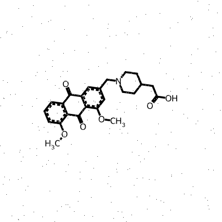 COc1cccc2c1C(=O)c1c(OC)cc(CN3CCC(CC(=O)O)CC3)cc1C2=O